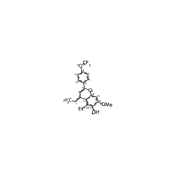 CC=C1C=C(c2ccc(OC(F)(F)F)cc2)Oc2cc(OC)c(O)c(CC)c21